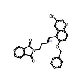 O=C1c2ccccc2C(=O)N1CC/C=C/c1c(OCc2ccccc2)ccc2ncc(Br)cc12